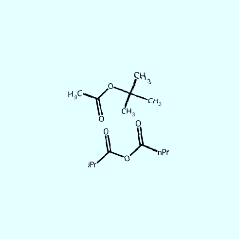 CC(=O)OC(C)(C)C.CCCC(=O)OC(=O)C(C)C